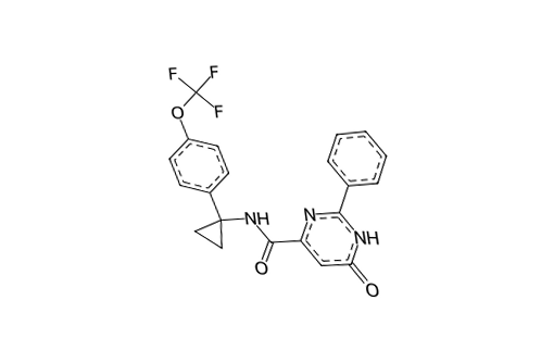 O=C(NC1(c2ccc(OC(F)(F)F)cc2)CC1)c1cc(=O)[nH]c(-c2ccccc2)n1